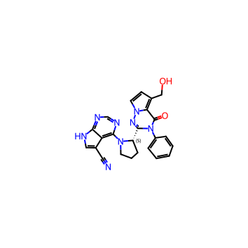 N#Cc1c[nH]c2ncnc(N3CCC[C@H]3c3nn4ccc(CO)c4c(=O)n3-c3ccccc3)c12